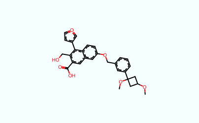 COC1CC(OC)(c2cccc(COc3ccc4c(-c5ccoc5)c(CO)c(C(=O)O)cc4c3)c2)C1